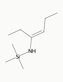 CC/C=C(\CC)N[Si](C)(C)C